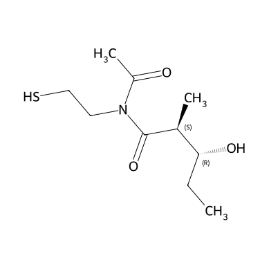 CC[C@@H](O)[C@H](C)C(=O)N(CCS)C(C)=O